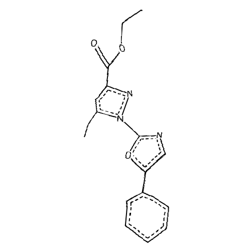 CCOC(=O)c1cc(C)n(-c2ncc(-c3ccccc3)o2)n1